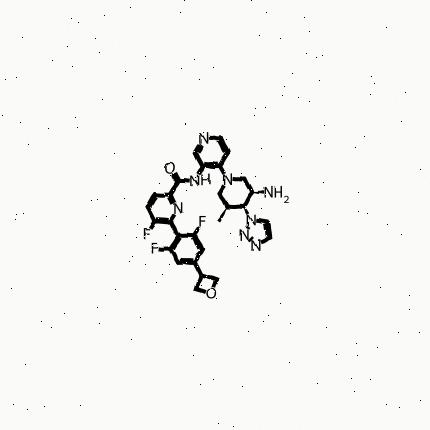 C[C@H]1CN(c2ccncc2NC(=O)c2ccc(F)c(-c3c(F)cc(C4COC4)cc3F)n2)C[C@@H](N)[C@H]1n1ccnn1